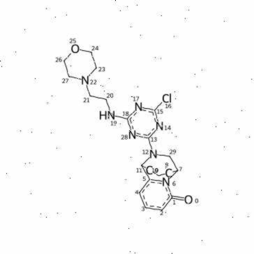 O=c1cccc2n1C1CCCC2N(c2nc(Cl)nc(NCCN3CCOCC3)n2)C1